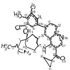 CN(C)C[C@]1(O)CC[C@H](Nc2c(C(=O)C3CC3)cnc3ccc(-c4cc(Cl)c(O)c(Cl)c4)cc23)CC1